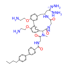 CCCCc1ccc(-c2ccc(C(=O)NCC(=O)N(C)C3C(=O)NCC(=O)NC(C/C(=N/N)NN)Cc4ccc(OCCN)c(c4)-c4cc3ccc4OCCN)cc2)cc1